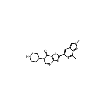 Cc1nc(-c2nc3ncn(C4CCNCC4)c(=O)c3s2)cc2cn(C)nc12